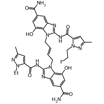 CCn1nc(C)cc1C(=O)Nc1nc2cc(C(N)=O)cc(O)c2n1CC=CCn1c(NC(=O)c2cc(C)nn2CCF)nc2cc(C(N)=O)cc(O)c21